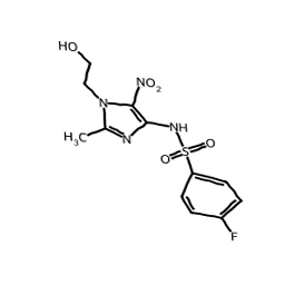 Cc1nc(NS(=O)(=O)c2ccc(F)cc2)c([N+](=O)[O-])n1CCO